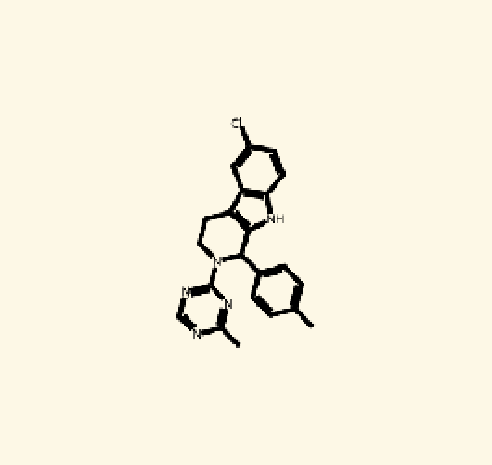 Cc1ccc(C2c3[nH]c4ccc(Cl)cc4c3CCN2c2ncnc(C)n2)cc1